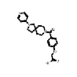 O=C(O)COc1ccc(C(=O)N2CCC3(CC2)CCN(c2ccncc2)C3)cc1